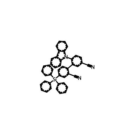 N#Cc1ccc(-n2c3ccccc3c3ccccc32)c(-c2ccc([Si](c3ccccc3)(c3ccccc3)c3ccccc3)cc2C#N)c1